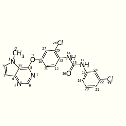 Cn1ccc2ncnc(Oc3ccc(NC(=O)Nc4cccc(Cl)c4)c(Cl)c3)c21